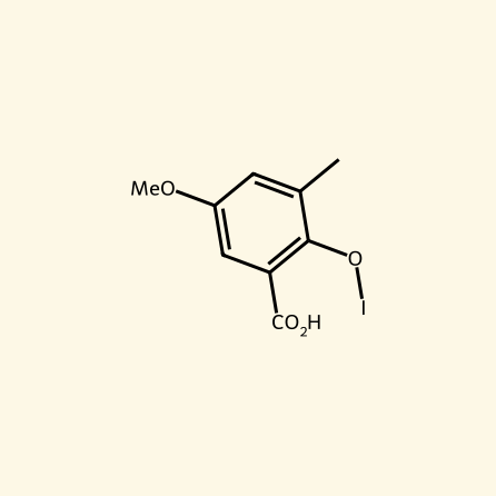 COc1cc(C)c(OI)c(C(=O)O)c1